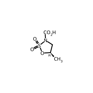 C[C@@H]1CN(C(=O)O)S(=O)(=O)O1